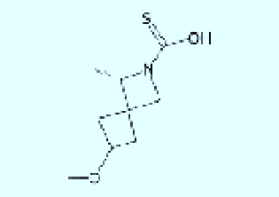 COC1CC2(C1)CN(C(O)=S)[C@H]2C